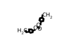 C=Cc1ccc(COC(=O)OCc2ccc(C=C)cc2)cc1